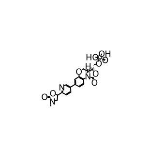 CN1CC(c2ccc(-c3ccc4c(c3)OC[C@H]3[C@H](COP(=O)(O)O)OC(=O)N43)cn2)OC1=O